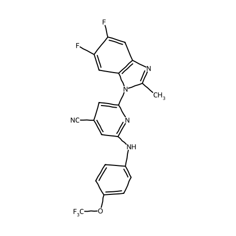 Cc1nc2cc(F)c(F)cc2n1-c1cc(C#N)cc(Nc2ccc(OC(F)(F)F)cc2)n1